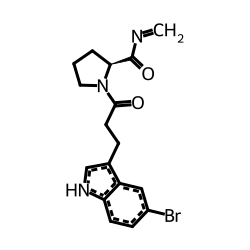 C=NC(=O)[C@@H]1CCCN1C(=O)CCc1c[nH]c2ccc(Br)cc12